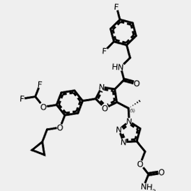 C[C@@H](c1oc(-c2ccc(OC(F)F)c(OCC3CC3)c2)nc1C(=O)NCc1ccc(F)cc1F)n1cc(COC(N)=O)nn1